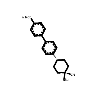 CCCCCCCc1ccc(-c2ccc([C@H]3CC[C@@](C#N)(CCCC)CC3)cc2)cc1